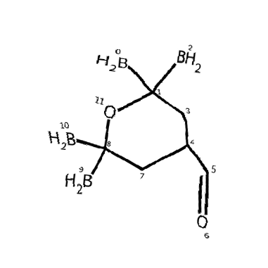 BC1(B)CC(C=O)CC(B)(B)O1